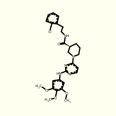 COc1cc(Nc2nccc(N3CCC[C@H](C(=O)NCCc4ccccc4Cl)C3)n2)cc(OC)c1OC